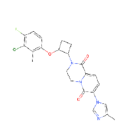 Cc1cn(-c2ccc3n(c2=O)CCN(C2CCC2Oc2ccc(F)c(Cl)c2C)C3=O)cn1